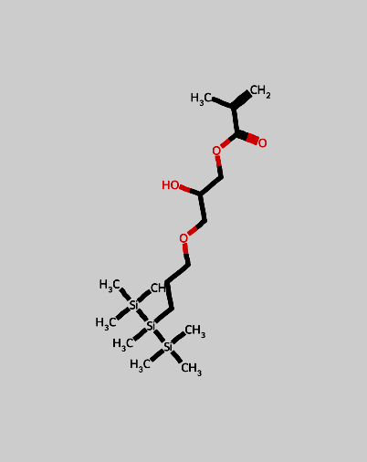 C=C(C)C(=O)OCC(O)COCCC[Si](C)([Si](C)(C)C)[Si](C)(C)C